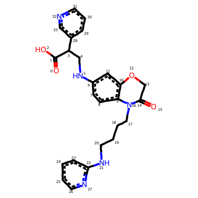 O=C(O)C(CNc1ccc2c(c1)OCC(=O)N2CCCCNc1ccccn1)c1cccnc1